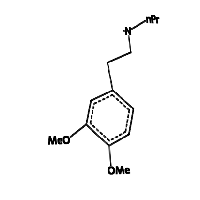 CCC[N]CCc1ccc(OC)c(OC)c1